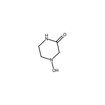 O=C1CN(O)CCN1